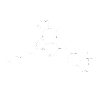 CC(C)n1ncnc1-c1cn(COCC[Si](C)(C)C)c2ncc(OC3CCN(C(=O)O)C(C(C)(C)C)C3)nc12